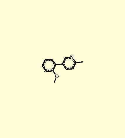 COc1[c]cccc1-c1ccc(C)nc1